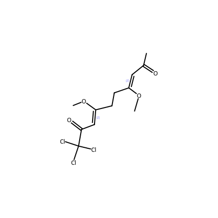 CO/C(=C\C(C)=O)CC/C(=C/C(=O)C(Cl)(Cl)Cl)OC